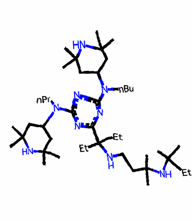 CCCCN(c1nc(N(CCC)C2CC(C)(C)NC(C)(C)C2)nc(C(CC)(CC)NCCC(C)(C)NC(C)(C)CC)n1)C1CC(C)(C)NC(C)(C)C1